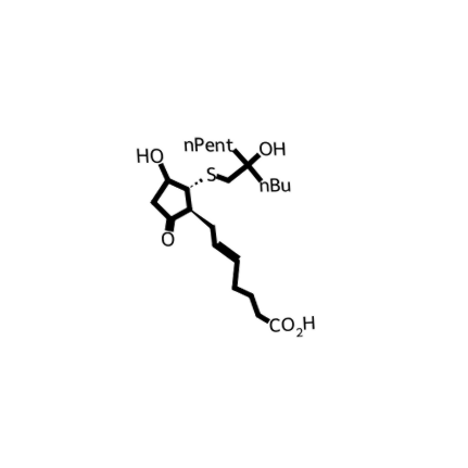 CCCCCC(O)(CCCC)CS[C@H]1C(O)CC(=O)[C@@H]1CC=CCCCC(=O)O